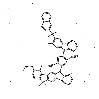 C/C=C\c1ccc2c(c1C)-c1cc3c(cc1C2(C)C)c1ccccc1n3-c1cc(C#N)c(-n2c3ccccc3c3cc(C(C)(C)c4ccc5ccccc5c4)c(C)cc32)cc1C#N